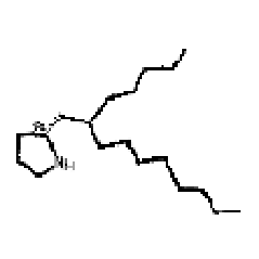 CCCCCCCCC(CCCCC)C[C@H]1CCCN1